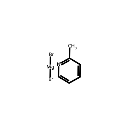 Cc1ccc[c]n1.[Br][Mg][Br]